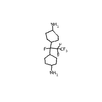 NC1CCC(C(F)(C2CCC(N)CC2)C(F)(F)C(F)(F)F)CC1